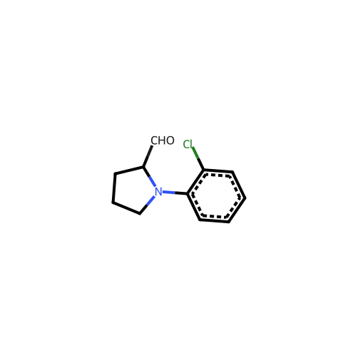 O=CC1CCCN1c1ccccc1Cl